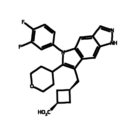 O=C(O)[C@H]1C[C@@H](Cc2c(C3CCOCC3)n(-c3ccc(F)c(F)c3)c3cc4cn[nH]c4cc23)C1